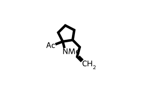 C=CCC1CCCC1(NC)C(C)=O